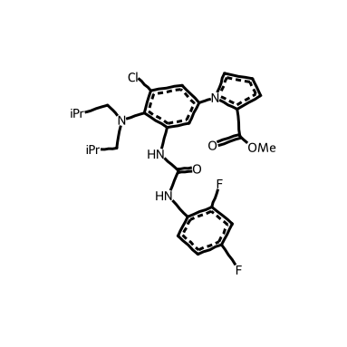 COC(=O)c1cccn1-c1cc(Cl)c(N(CC(C)C)CC(C)C)c(NC(=O)Nc2ccc(F)cc2F)c1